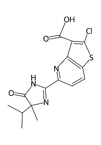 CC(C)C1(C)N=C(c2ccc3sc(Cl)c(C(=O)O)c3n2)NC1=O